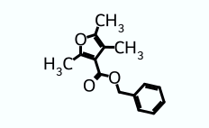 Cc1oc(C)c(C(=O)OCc2ccccc2)c1C